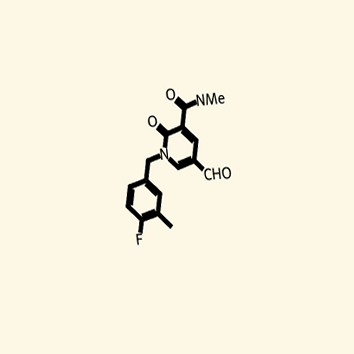 CNC(=O)c1cc(C=O)cn(Cc2ccc(F)c(C)c2)c1=O